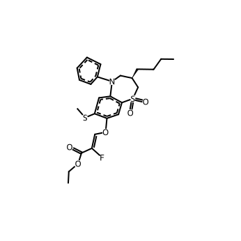 CCCC[C@@H]1CN(c2ccccc2)c2cc(SC)c(O/C=C(\F)C(=O)OCC)cc2S(=O)(=O)C1